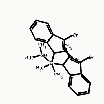 CC1=C(C(C)C)c2ccccc2[CH]1[Zr]([CH3])([CH3])([CH]1C(C)=C(C(C)C)c2ccccc21)[SiH](C)C